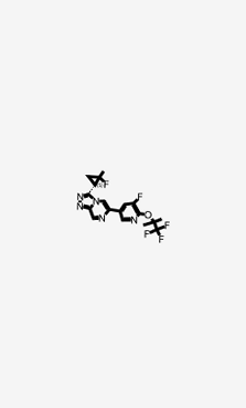 CC1(F)C[C@H]1c1nnc2cnc(-c3cnc(OC(C)(C)C(F)(F)F)c(F)c3)cn12